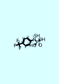 O=P(O)(O)N(S)c1ccc(C(F)(F)F)cc1